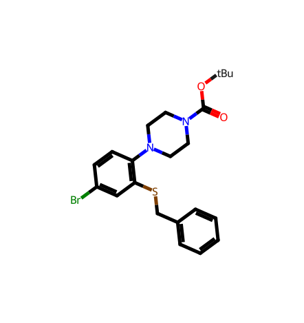 CC(C)(C)OC(=O)N1CCN(c2ccc(Br)cc2SCc2ccccc2)CC1